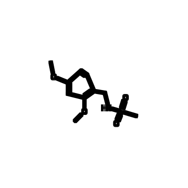 COc1ccc(CNS(C)(=O)=O)c(OC)c1